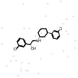 [O]c1cccc([C@@H]2CCC[C@@H](NC[C@H](O)c3cccc(Cl)c3)C2)c1